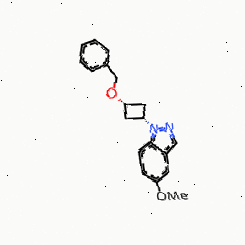 COc1ccc2c(cnn2[C@H]2C[C@@H](OCc3ccccc3)C2)c1